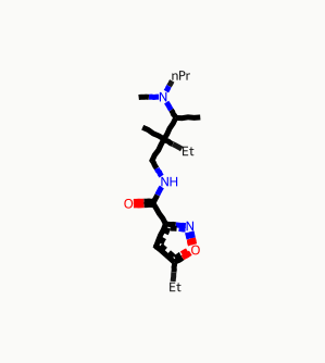 CCCN(C)C(C)C(C)(CC)CNC(=O)c1cc(CC)on1